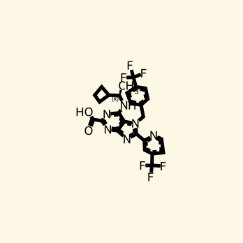 C[C@@H](Nc1nc(C(=O)O)nc2nc(-c3cc(C(F)(F)F)ccn3)n(Cc3ccc(C(F)(F)F)cc3)c12)C1CCC1